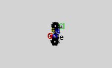 O=c1c2ccccc2[se]n1-c1nc2c(Cl)cccc2s1